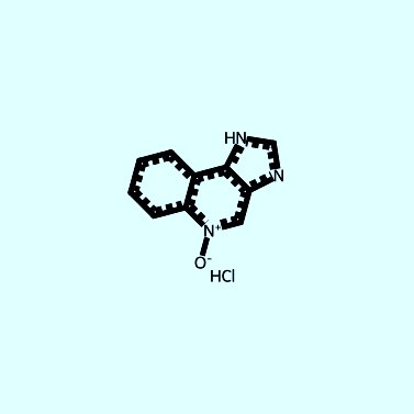 Cl.[O-][n+]1cc2nc[nH]c2c2ccccc21